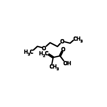 C=C(C)C(=O)O.CCOCCOCC